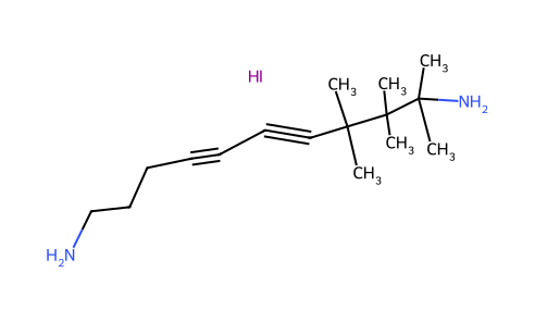 CC(C)(N)C(C)(C)C(C)(C)C#CC#CCCCN.I